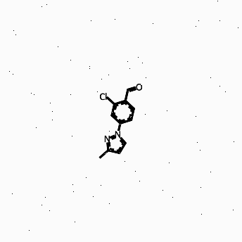 Cc1ccn(-c2ccc(C=O)c(Cl)c2)n1